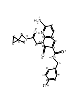 Nc1ccc2cc(C(=O)NCc3ccc(Cl)cc3)c(=O)n(CC(=O)N3CC4(CC4)C3)c2n1